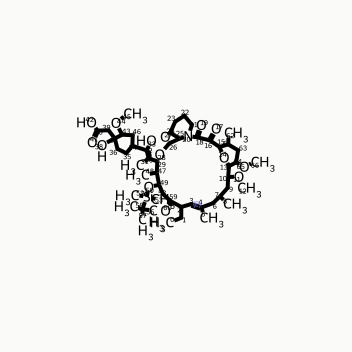 CCC1/C=C(\C)CC(C)CC(OC)C2OC(C(=O)C(=O)N3CCCCC3C(=O)OC(C(C)=C(O)C3CCC(O)(CC(=O)O)C(OC)C3)C(C)C(O[Si](C)(C)C(C)(C)C)CC1=O)C(C)CC2OC